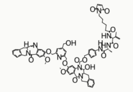 C=C(C)[C@H](NC(=O)CCCCCN1C(=O)C=CC1=O)C(=O)N[C@@H](C)C(=O)Nc1ccc(COC(=O)N2c3cc(OCc4cc(CO)cc(COc5cc6c(cc5OC)C(=O)N5Cc7ccccc7C[C@H]5C=N6)n4)c(OC)cc3C(=O)N3Cc4ccccc4CC3C2O)cc1